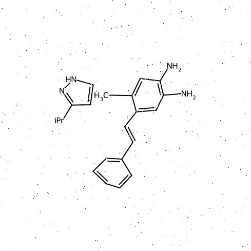 CC(C)c1cc[nH]n1.Cc1cc(N)c(N)cc1C=Cc1ccccc1